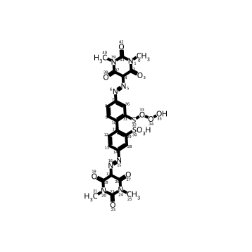 CN1C(=O)C(N=Nc2ccc(-c3ccc(N=NC4C(=O)N(C)C(=O)N(C)C4=O)cc3S(=O)(=O)O)c(SOOO)c2)C(=O)N(C)C1=O